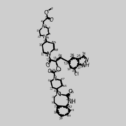 COC(=O)CN1CCN(C2CCN(C(=O)C(Cc3cc(Cl)c4[nH]ncc4c3)OC(=O)N3CCC(N4CCc5ccccc5NC4=O)CC3)CC2)CC1